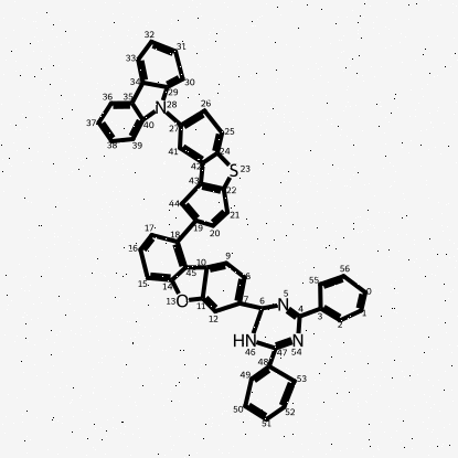 c1ccc(C2=NC(c3ccc4c(c3)oc3cccc(-c5ccc6sc7ccc(-n8c9ccccc9c9ccccc98)cc7c6c5)c34)NC(c3ccccc3)=N2)cc1